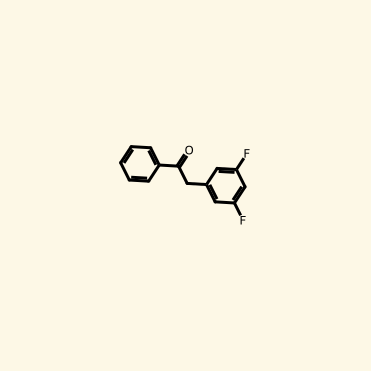 O=C(Cc1cc(F)cc(F)c1)c1ccccc1